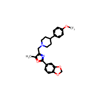 Cc1oc(-c2ccc3c(c2)OCO3)nc1CN1CCC(c2ccc(OC(F)(F)F)cc2)CC1